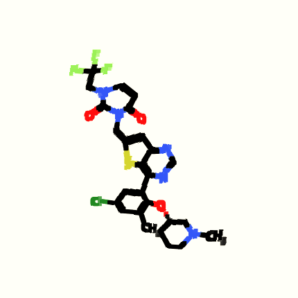 Cc1cc(Cl)cc(-c2ncnc3cc(Cn4c(=O)ccn(CC(F)(F)F)c4=O)sc23)c1O[C@H]1CCCN(C)C1